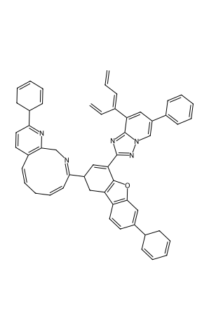 C=C/C=C(\C=C)c1cc(-c2ccccc2)cn2nc(C3=CC(C4=N/Cc5nc(C6C=CC=CC6)ccc5/C=C\C/C=C\4)Cc4c3oc3cc(C5C=CC=CC5)ccc43)nc12